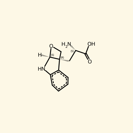 N[C@@H](C[C@@]12CO[C@@H]1Nc1ccccc12)C(=O)O